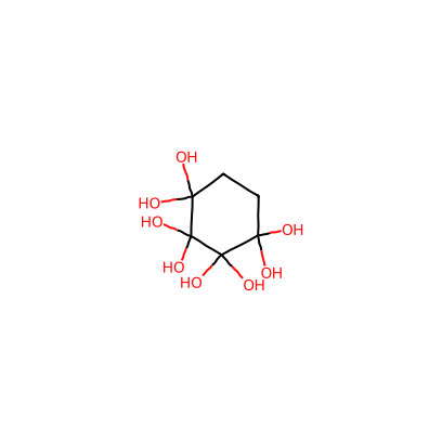 OC1(O)CCC(O)(O)C(O)(O)C1(O)O